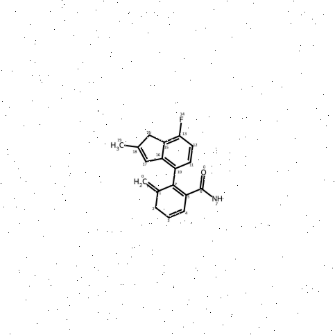 C=C1CC=CC(C([NH])=O)=C1c1ccc(F)c2c1C=C(C)C2